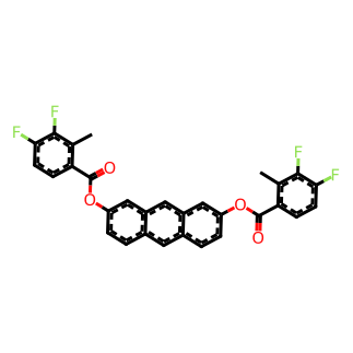 Cc1c(C(=O)Oc2ccc3cc4ccc(OC(=O)c5ccc(F)c(F)c5C)cc4cc3c2)ccc(F)c1F